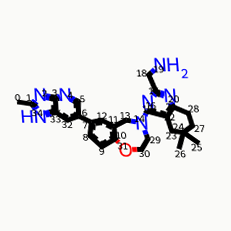 Cc1nc2ncc(-c3ccc4c(c3)CN(c3nc(CN)nc5c3CC(C)(C)CC5)CCO4)cc2[nH]1